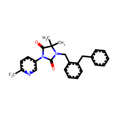 CC1(C)C(=O)N(c2ccc(C(F)(F)F)nc2)C(=O)N1Cc1ccccc1Cc1ccccc1